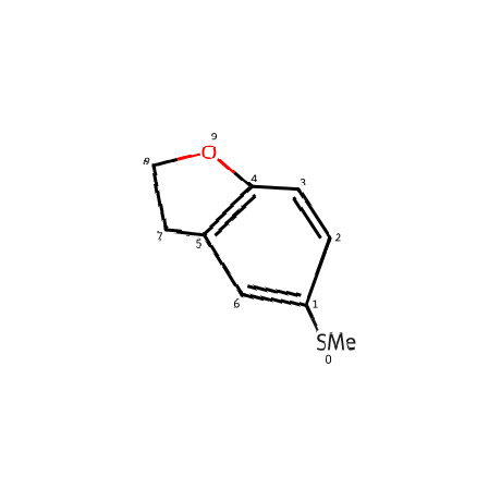 CSc1ccc2c(c1)CCO2